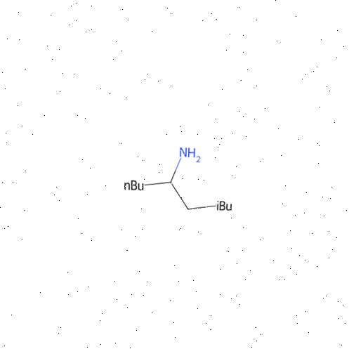 CCCCC(N)CC(C)CC